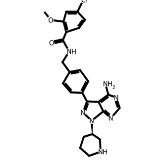 COc1cc(Cl)ccc1C(=O)NCc1ccc(-c2nn([C@@H]3CCCNC3)c3ncnc(N)c23)cc1